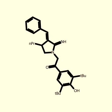 CCCC1CN(CC(=O)c2cc(C(C)(C)C)c(O)c(C(C)(C)C)c2)C(=N)/C1=C/c1ccccc1